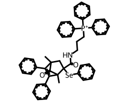 CC12CC([Se]c3ccccc3)(C(=O)NCCC[P+](c3ccccc3)(c3ccccc3)c3ccccc3)C(C)(C1=O)C(c1ccccc1)=C2c1ccccc1